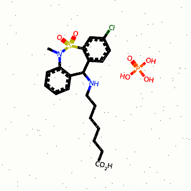 CN1c2ccccc2C(NCCCCCCC(=O)O)c2ccc(Cl)cc2S1(=O)=O.O=P(O)(O)O